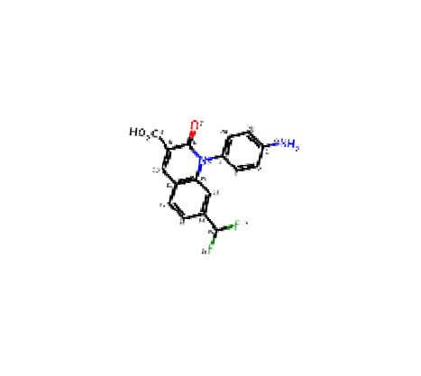 Nc1ccc(-n2c(=O)c(C(=O)O)cc3ccc(C(F)F)cc32)cc1